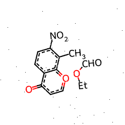 CCOC=O.Cc1c([N+](=O)[O-])ccc2c(=O)ccoc12